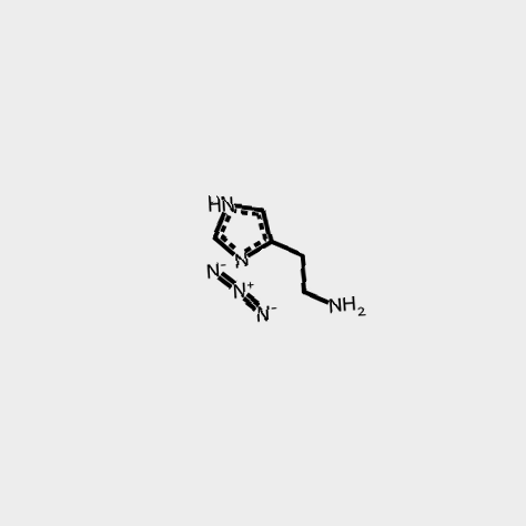 NCCc1c[nH]cn1.[N-]=[N+]=[N-]